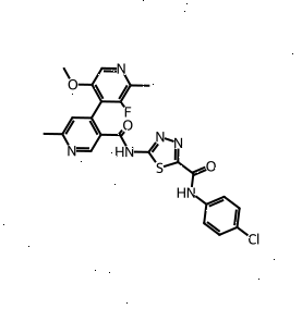 COc1cnc(C)c(F)c1-c1cc(C)ncc1C(=O)Nc1nnc(C(=O)Nc2ccc(Cl)cc2)s1